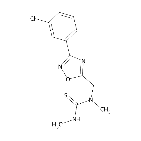 CNC(=S)N(C)Cc1nc(-c2cccc(Cl)c2)no1